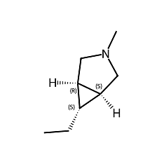 CC[C@@H]1[C@H]2CN(C)C[C@@H]12